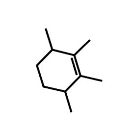 CC1=C(C)C(C)CCC1C